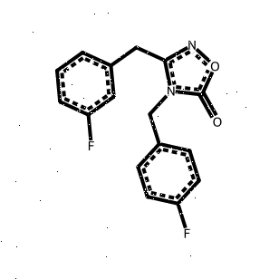 O=c1onc(Cc2cccc(F)c2)n1Cc1ccc(F)cc1